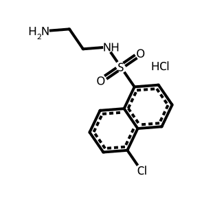 Cl.NCCNS(=O)(=O)c1cccc2c(Cl)cccc12